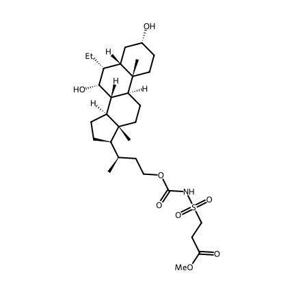 CC[C@H]1[C@@H](O)[C@@H]2[C@H](CC[C@]3(C)[C@@H]([C@H](C)CCOC(=O)NS(=O)(=O)CCC(=O)OC)CC[C@@H]23)[C@@]2(C)CC[C@@H](O)C[C@@H]12